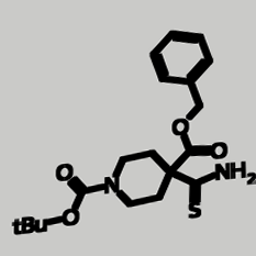 CC(C)(C)OC(=O)N1CCC(C(=O)OCc2ccccc2)(C(N)=S)CC1